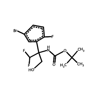 CC(C)(C)OC(=O)NC(CO)(c1cc(Br)ccc1F)C(F)F